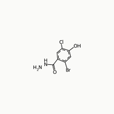 NNC(=O)c1cc(Cl)c(O)cc1Br